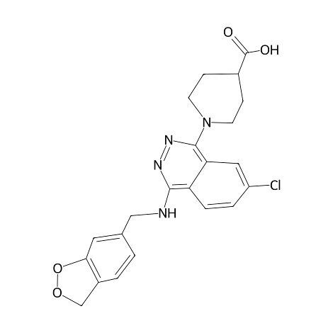 O=C(O)C1CCN(c2nnc(NCc3ccc4c(c3)OOC4)c3ccc(Cl)cc23)CC1